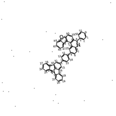 c1ccc(-c2nc3ccc(-c4ccc(-c5cc6c7ccccc7n7c8ccccc8c(c5)c67)cc4)cc3c3c2ccc2oc4ccccc4c23)cc1